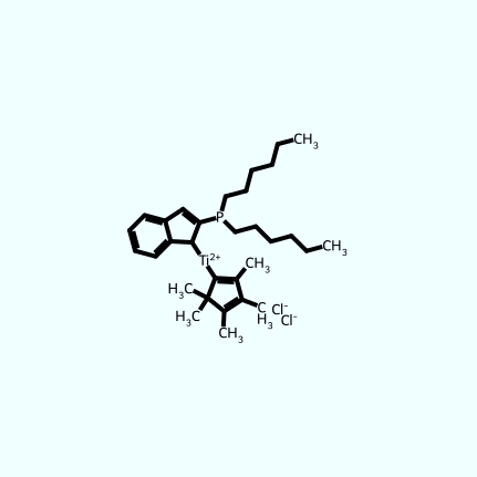 CCCCCCP(CCCCCC)C1=Cc2ccccc2[CH]1[Ti+2][C]1=C(C)C(C)=C(C)C1(C)C.[Cl-].[Cl-]